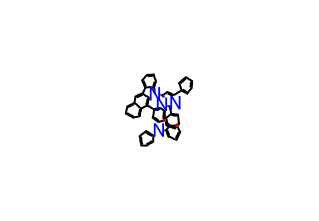 c1ccc(-c2cc(-n3c4ccccc4c4cc5ccccc5c(-c5ccc6c7ccccc7n(-c7ccccc7)c6c5)c43)nc(-c3ccccc3)n2)cc1